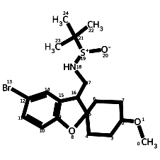 COC1CCC2(CC1)Oc1ccc(Br)cc1C2CN[S+]([O-])C(C)(C)C